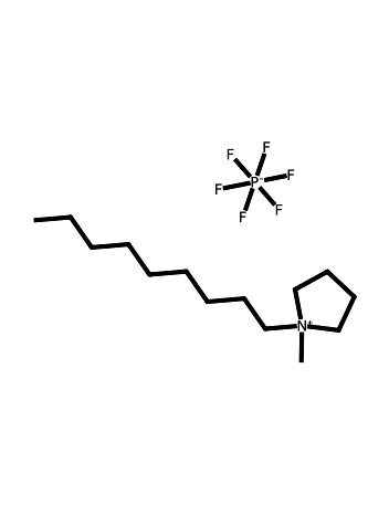 CCCCCCCCC[N+]1(C)CCCC1.F[P-](F)(F)(F)(F)F